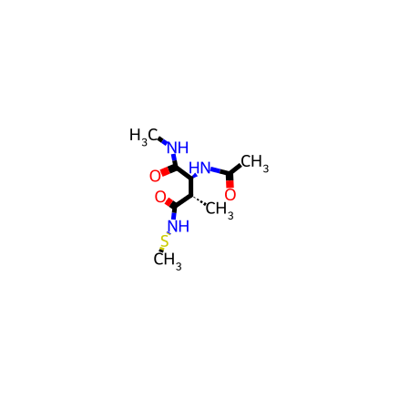 CNC(=O)[C@@H](NC(C)=O)[C@H](C)C(=O)NSC